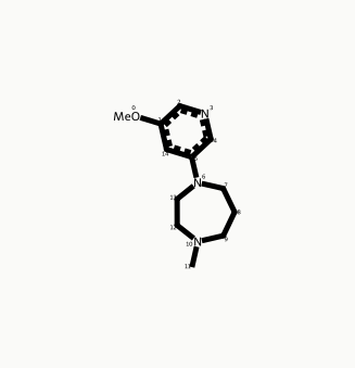 COc1cncc(N2CCCN(C)CC2)c1